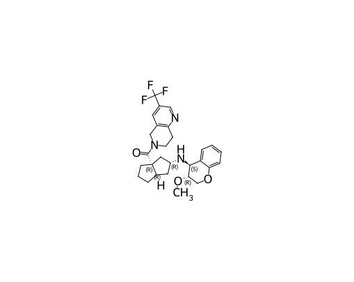 CO[C@H]1COc2ccccc2[C@@H]1N[C@@H]1C[C@H]2CCC[C@@]2(C(=O)N2CCc3ncc(C(F)(F)F)cc3C2)C1